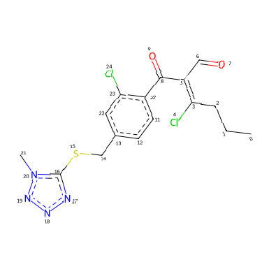 CCCC(Cl)=C(C=O)C(=O)c1ccc(CSc2nnnn2C)cc1Cl